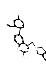 Nc1nc(C(=O)N2Cc3ccccc3C2)c2cc(-c3ccc(F)cc3C=O)ccc2n1